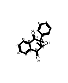 CC12OC1(c1ccccc1)C(=O)c1ccccc1C2=O